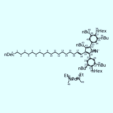 CCCCCCCCCCCCCCCCCCCCCCCCCCC=CC1=C(c2cc(CCCC)c(CCCCCC)c(CCCC)c2)[N+](=[N-])C(c2cc(CCCC)c(CCCCCC)c(CCCC)c2)=C1CCCC.CC[N](C)[Pd][N](C)CC